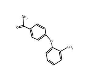 Cc1ccccc1Oc1ccc(C(N)=O)cc1